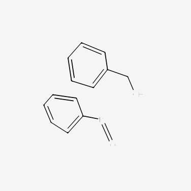 CCc1ccccc1.O=Pc1ccccc1